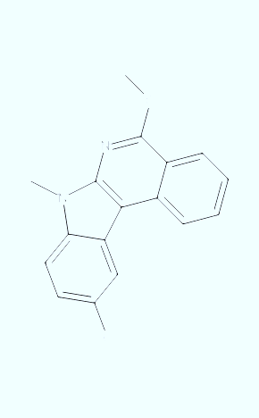 COc1nc2c(c3ccccc13)c1cc(Cl)ccc1n2C